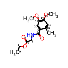 CCOC(=O)CNC(=O)c1cc(OC)c(OC)cc1C